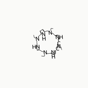 CCN1Cc2ccc([nH]2)CN(CC)Cc2ccc([nH]2)CN(CC)Cc2ccc([nH]2)CN(CC)Cc2ccc([nH]2)C1